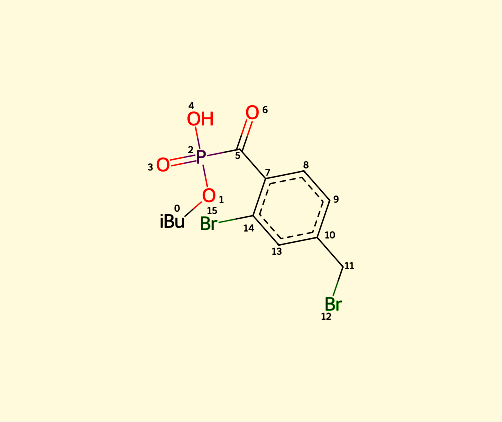 CCC(C)OP(=O)(O)C(=O)c1ccc(CBr)cc1Br